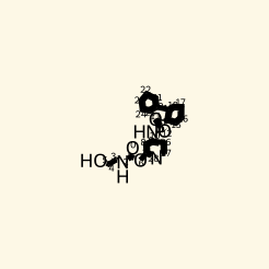 O=C(NCCO)Oc1cc(NS(=O)(=O)c2ccccc2-c2ccccc2)ccn1